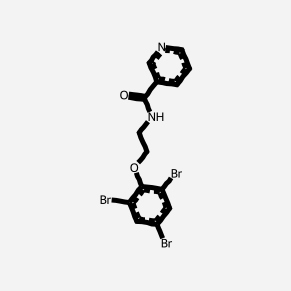 O=C(NCCOc1c(Br)cc(Br)cc1Br)c1cccnc1